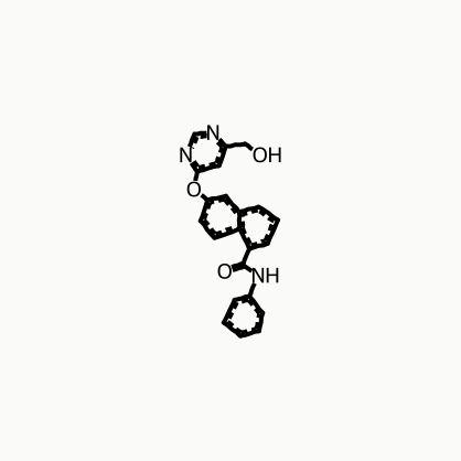 O=C(Nc1ccccc1)c1cccc2cc(Oc3cc(CO)ncn3)ccc12